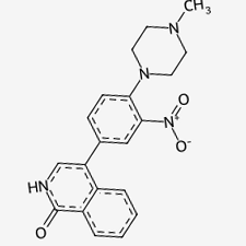 CN1CCN(c2ccc(-c3c[nH]c(=O)c4ccccc34)cc2[N+](=O)[O-])CC1